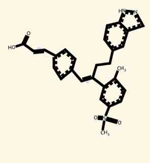 Cc1ccc(S(C)(=O)=O)cc1/C(=C/c1ccc(/C=C/C(=O)O)cc1)CCc1ccc2[nH]ncc2c1